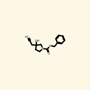 C#CCC1(O)CCN(C(=O)OCc2ccccc2)C1